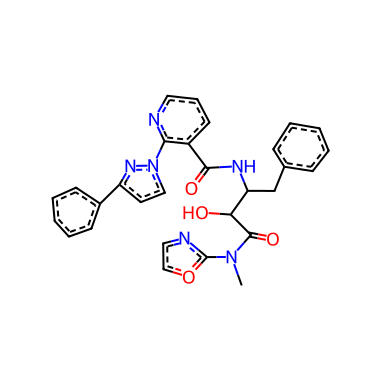 CN(C(=O)C(O)C(Cc1ccccc1)NC(=O)c1cccnc1-n1ccc(-c2ccccc2)n1)c1ncco1